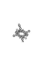 CN(C)c1ccc(NC(=O)Nc2nc(CSc3ccccc3)c(S(=O)(=O)c3ncc[nH]3)s2)c(C(=O)C2CCCC2)c1.O=C(Nc1nc(CSc2ccccc2)c(S(=O)(=O)c2ncc[nH]2)s1)Nc1ccc(N2CCOCC2)cc1C(=O)C1CCCC1